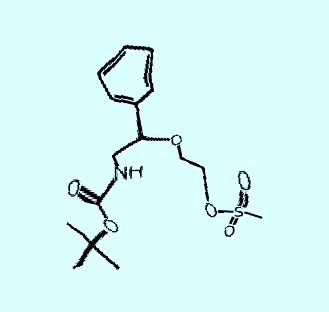 CC(C)(C)OC(=O)NCC(OCCOS(C)(=O)=O)c1ccccc1